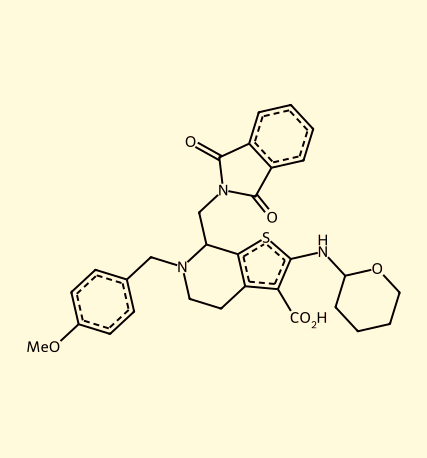 COc1ccc(CN2CCc3c(sc(NC4CCCCO4)c3C(=O)O)C2CN2C(=O)c3ccccc3C2=O)cc1